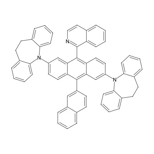 c1ccc2c(c1)CCc1ccccc1N2c1ccc2c(-c3nccc4ccccc34)c3cc(N4c5ccccc5CCc5ccccc54)ccc3c(-c3ccc4ccccc4c3)c2c1